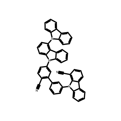 N#Cc1ccc(-n2c3ccccc3c3c(-n4c5ccccc5c5ccccc54)cccc32)cc1-c1cccc(-n2c3ccccc3c3cccc(C#N)c32)c1